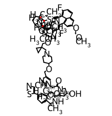 COCOc1cc(-c2ncc3c(N4CC5CCC(C4)N5C(=O)OC(C)(C)C)nc(OCC4(CN5CCC(OCc6cn([C@H](C(=O)N7C[C@H](O)C[C@H]7C(=O)N[C@@H](C)c7ccc(-c8scnc8C)cc7)C(C)(C)C)nn6)CC5)CC4)nc3c2F)c2c(C#C[Si](C(C)C)(C(C)C)C(C)C)c(F)ccc2c1